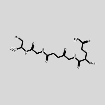 CNC(CCC(N)=O)C(=O)NCC(=O)CCC(=O)NCC(=O)NC(CC(C)C)C(=O)O